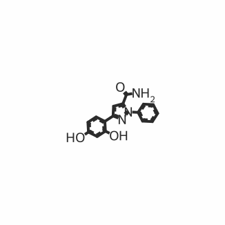 NC(=O)c1cc(-c2ccc(O)cc2O)nn1-c1ccccc1